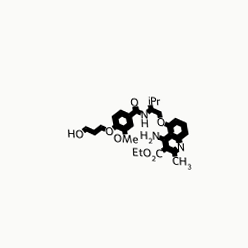 CCOC(=O)c1c(C)nc2cccc(OCC(NC(=O)c3ccc(OCCCO)c(OC)c3)C(C)C)c2c1N